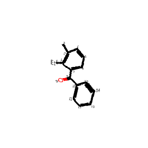 CCc1c(C)cccc1C(=O)c1ccccc1